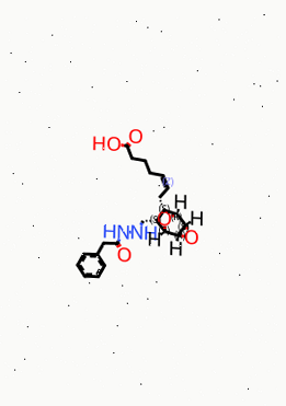 O=C(O)CCC/C=C\C[C@H]1[C@@H](CNNC(=O)Cc2ccccc2)[C@@H]2O[C@H]1[C@@H]1O[C@@H]12